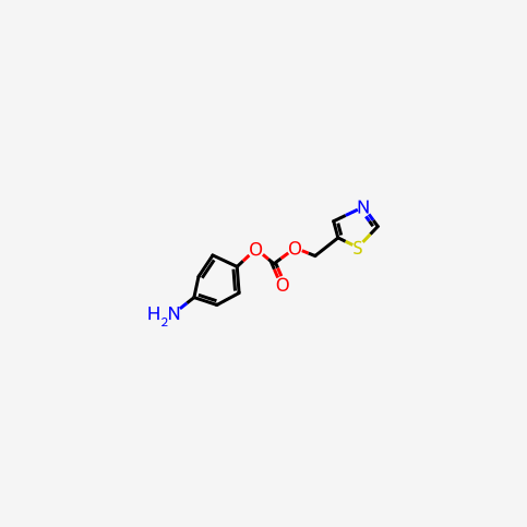 Nc1ccc(OC(=O)OCc2cncs2)cc1